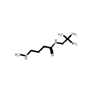 BC(C)(C)CNC(=O)CCCNC